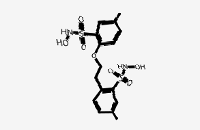 Cc1ccc(CCOc2ccc(C)cc2S(=O)(=O)NO)c(S(=O)(=O)NO)c1